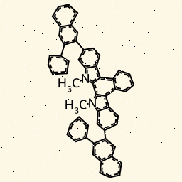 Cn1c2cc(-c3cc4ccccc4cc3-c3ccccc3)ccc2c2c3ccccc3c3c4ccc(-c5cc6ccccc6cc5-c5ccccc5)cc4n(C)c3c21